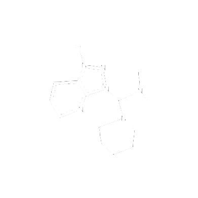 CN(C)C(N1CCCCC1)n1n[n+]([O-])c2cccnc21